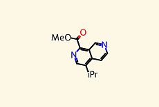 COC(=O)c1ncc(C(C)C)c2ccncc12